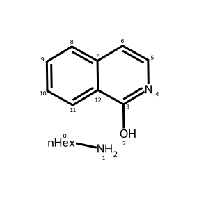 CCCCCCN.Oc1nccc2ccccc12